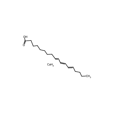 CCCCC=CC=CC=CCCCCCCCC(=O)O.[CaH2]